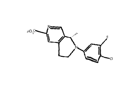 C[C@H]1c2cnc(C(=O)O)cc2CCN1c1ccc(Cl)c(F)c1